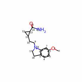 COc1ccc2c(c1)N(CCC1CC1C(N)=O)CC2